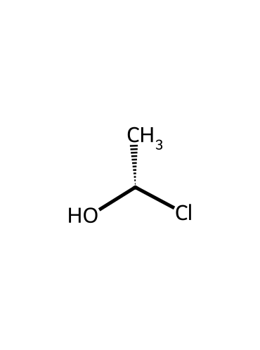 C[C@@H](O)Cl